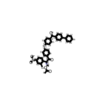 CC(=O)O/N=C(/C(=O)c1ccc(Sc2ccc(C(=O)c3ccc(-c4ccccc4)cc3)cc2)cc1)c1ccc([N+](=O)[O-])cc1C